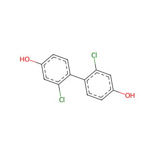 Oc1ccc(-c2ccc(O)cc2Cl)c(Cl)c1